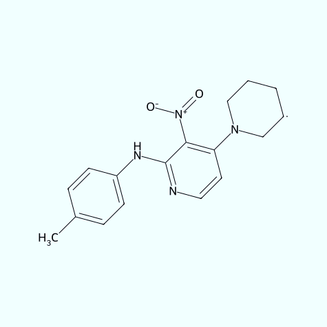 Cc1ccc(Nc2nccc(N3C[CH]CCC3)c2[N+](=O)[O-])cc1